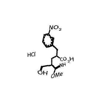 COC(=N)C(CO)CC(Cc1cccc([N+](=O)[O-])c1)C(=O)O.Cl